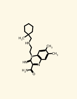 Cc1cc2nc(C(N)=O)c(=N)n(CCNCC3(C)CCCCC3)c2cc1C